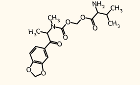 CC(C)C(N)C(=O)OCOC(=O)N(C)C(C)C(=O)c1ccc2c(c1)OCO2